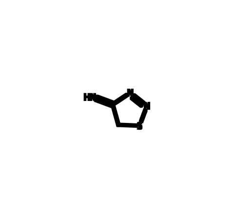 N=C1CSN=N1